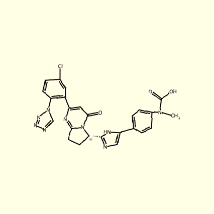 CN(C(=O)O)c1ccc(-c2cnc([C@@H]3CCc4nc(-c5cc(Cl)ccc5-n5cnnn5)cc(=O)n43)[nH]2)cc1